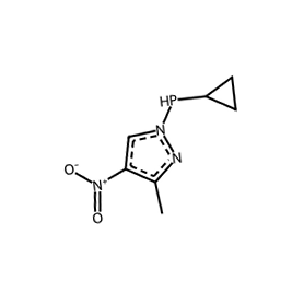 Cc1nn(PC2CC2)cc1[N+](=O)[O-]